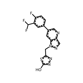 Oc1nnc(Cn2ncc3ncc(-c4ccc(F)c(C(F)F)c4)cc32)s1